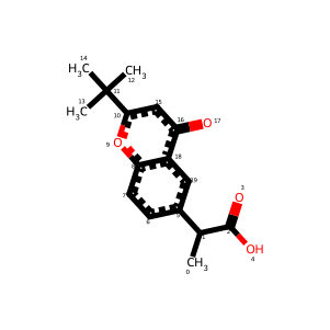 CC(C(=O)O)c1ccc2oc(C(C)(C)C)cc(=O)c2c1